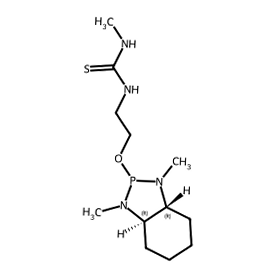 CNC(=S)NCCOP1N(C)[C@@H]2CCCC[C@H]2N1C